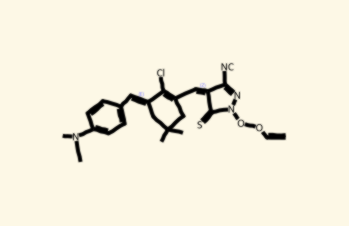 [C-]#[N+]C1=NN(OOC=C)C(=S)/C1=C\C1=C(Cl)C(=C/c2ccc(N(C)C)cc2)/CC(C)(C)C1